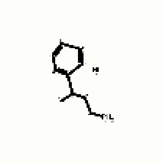 CC(CCP)c1ccccc1.I